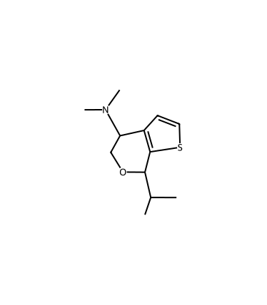 CC(C)C1OCC(N(C)C)c2ccsc21